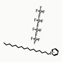 CCCCCCCCCCCCCCCC[n+]1ccccc1.F[B-](F)(F)F.F[B-](F)(F)F.F[B-](F)(F)F.F[B-](F)(F)F